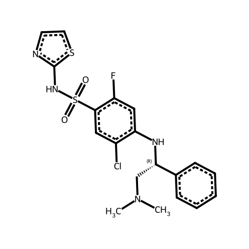 CN(C)C[C@H](Nc1cc(F)c(S(=O)(=O)Nc2nccs2)cc1Cl)c1ccccc1